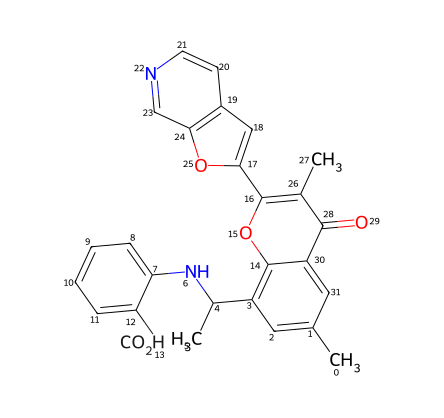 Cc1cc(C(C)Nc2ccccc2C(=O)O)c2oc(-c3cc4ccncc4o3)c(C)c(=O)c2c1